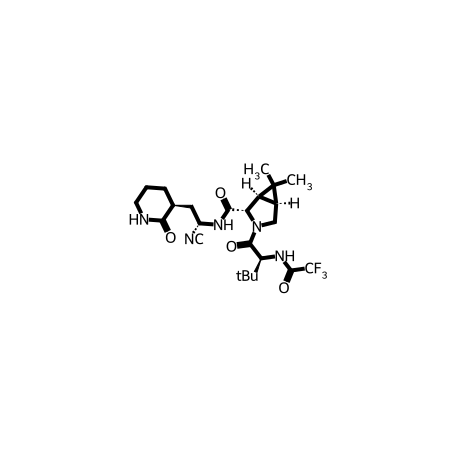 CC(C)(C)[C@H](NC(=O)C(F)(F)F)C(=O)N1C[C@H]2[C@@H]([C@H]1C(=O)N[C@H](C#N)C[C@@H]1CCCNC1=O)C2(C)C